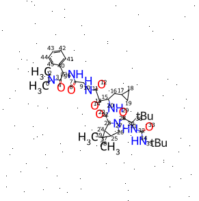 CN(C)C(=O)[C@@H](NC(=O)CNC(=O)C(=O)C(CC1CC1)NC(=O)C1C2C(CN1C(=O)C(NC(=O)NC(C)(C)C)C(C)(C)C)C2(C)C)c1ccccc1